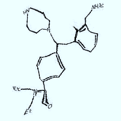 CCN(CC)C(=O)c1ccc(C(c2cccc(NC(C)=O)c2)N2CCNCC2)cc1